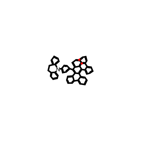 c1ccc(-c2ccccc2-c2c3ccccc3c(-c3ccc(N4c5ccccc5CCc5ccccc54)cc3)c3c4ccccc4c4ccccc4c23)cc1